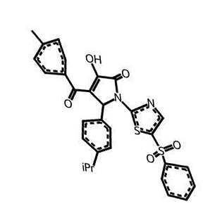 Cc1ccc(C(=O)C2=C(O)C(=O)N(c3ncc(S(=O)(=O)c4ccccc4)s3)C2c2ccc(C(C)C)cc2)cc1